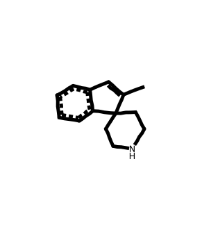 CC1=Cc2ccccc2C12CCNCC2